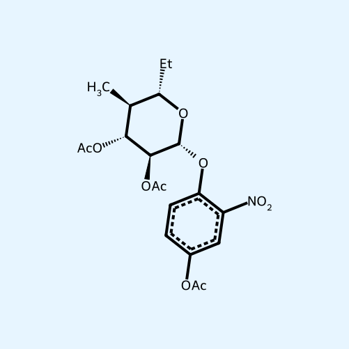 CC[C@@H]1O[C@H](Oc2ccc(OC(C)=O)cc2[N+](=O)[O-])[C@@H](OC(C)=O)[C@H](OC(C)=O)[C@H]1C